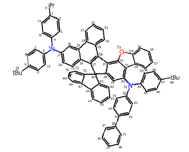 CC(C)c1ccc(N(c2ccc(C(C)(C)C)cc2)c2ccc3c4c(c5ccccc5c3c2)-c2c(cc(N(c3ccc(-c5ccccc5)cc3)c3ccc(C(C)(C)C)cc3)c3c2oc2ccccc23)C42c3ccccc3-c3ccccc32)cc1